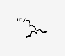 C=CCP(=O)(CC=C)CNCC(=O)O